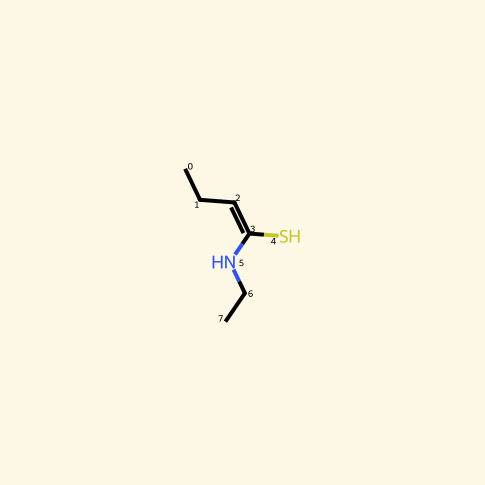 CC/C=C(/S)NCC